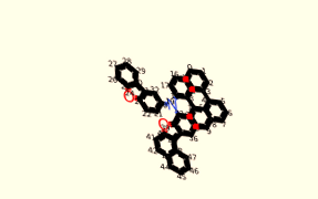 c1ccc(-c2cccc3cccc(-c4ccccc4N(c4ccc5oc6ccccc6c5c4)c4cccc5c4oc4ccc6ccccc6c45)c23)cc1